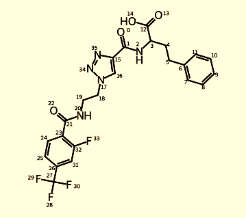 O=C(NC(CCc1ccccc1)C(=O)O)c1cn(CCNC(=O)c2ccc(C(F)(F)F)cc2F)nn1